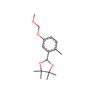 COCOc1ccc(C)c(B2OC(C)(C)C(C)(C)O2)c1